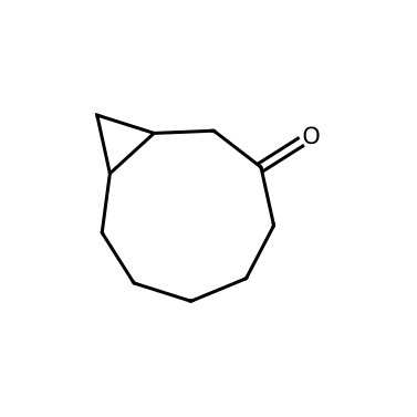 O=C1CCCCCC2CC2C1